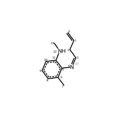 C=CC/C=N\c1c(C)cccc1NC